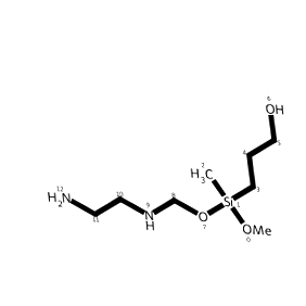 CO[Si](C)(CCCO)OCNCCN